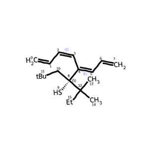 C=C/C=C\C(=C/C=C)[C@](S)(CC(C)(C)C)C(C)(C)CC